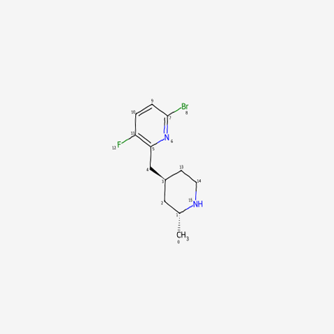 C[C@@H]1C[C@@H](Cc2nc(Br)ccc2F)CCN1